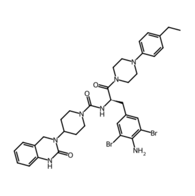 CCc1ccc(N2CCN(C(=O)[C@@H](Cc3cc(Br)c(N)c(Br)c3)NC(=O)N3CCC(N4Cc5ccccc5NC4=O)CC3)CC2)cc1